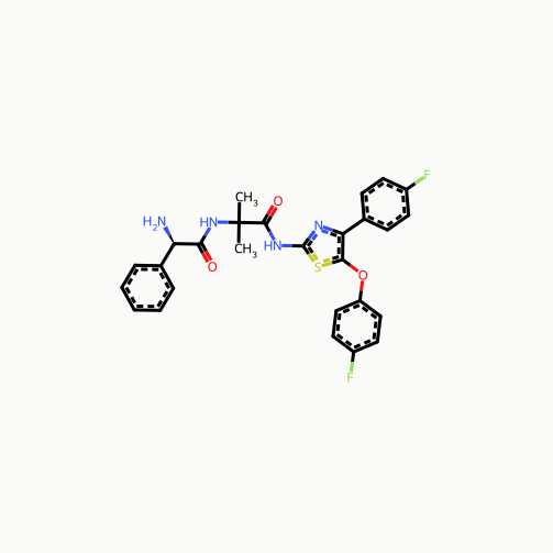 CC(C)(NC(=O)[C@H](N)c1ccccc1)C(=O)Nc1nc(-c2ccc(F)cc2)c(Oc2ccc(F)cc2)s1